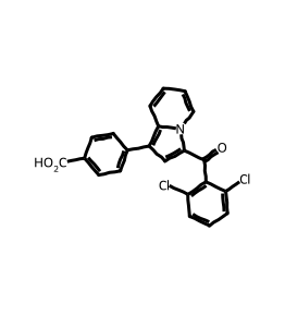 O=C(O)c1ccc(-c2cc(C(=O)c3c(Cl)cccc3Cl)n3ccccc23)cc1